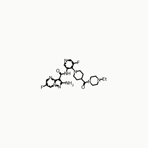 CCN1CCN(C(=O)C2CCN(c3c(F)cncc3NC(=O)c3c(N)nn4cc(F)cnc34)CC2)CC1